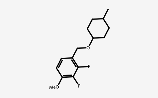 COc1ccc(COC2CCC(C)CC2)c(F)c1F